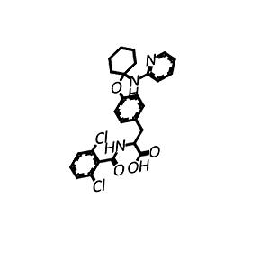 O=C(NC(Cc1ccc(OC2(Nc3ccccn3)CCCCC2)cc1)C(=O)O)c1c(Cl)cccc1Cl